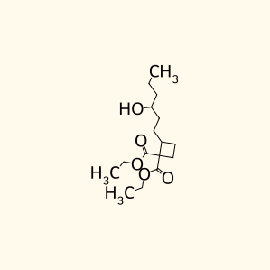 CCCC(O)CCC1CCC1(C(=O)OCC)C(=O)OCC